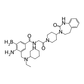 Bc1cc(C(=O)NCC(=O)N2CCC(N3CCc4ccccc4NC3=O)CC2)cc(CN(CC)C2CCCCC2)c1N